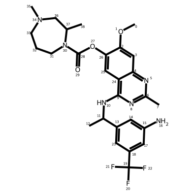 COc1cc2nc(C)nc(NC(C)c3cc(N)cc(C(F)(F)F)c3)c2cc1OC(=O)N1CCCN(C)CC1C